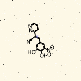 N#C/C(=C\c1cc(O)c(O)c([N+](=O)[O-])c1)c1cccnn1